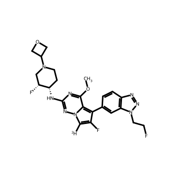 [2H]c1c(F)c(-c2ccc3nnn(CCF)c3c2)c2c(OC)nc(N[C@H]3CCN(C4COC4)C[C@H]3F)nn12